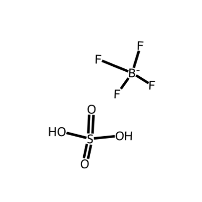 F[B-](F)(F)F.O=S(=O)(O)O